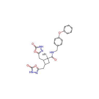 CCCC1(C(=O)NCc2ccc(Oc3ccccc3)cc2)CC(Cc2n[nH]c(=O)o2)C1Cc1n[nH]c(=O)o1